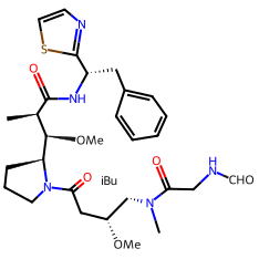 CC[C@H](C)[C@@H]([C@@H](CC(=O)N1CCC[C@H]1[C@H](OC)[C@@H](C)C(=O)N[C@@H](Cc1ccccc1)c1nccs1)OC)N(C)C(=O)CNC=O